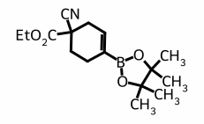 CCOC(=O)C1(C#N)CC=C(B2OC(C)(C)C(C)(C)O2)CC1